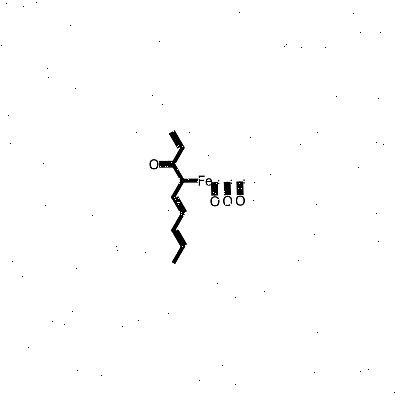 C=CC(=O)[CH]([Fe])C=CC=CC.[C]=O.[C]=O.[C]=O